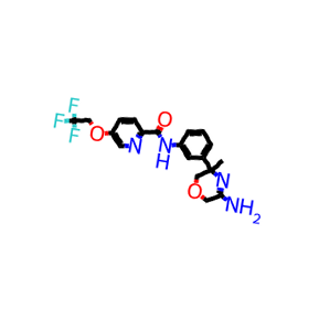 CC1(c2cccc(NC(=O)c3ccc(OCC(F)(F)F)cn3)c2)COCC(N)=N1